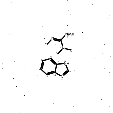 CN=C(NC)N(C)C.c1ccc2[nH]cnc2c1